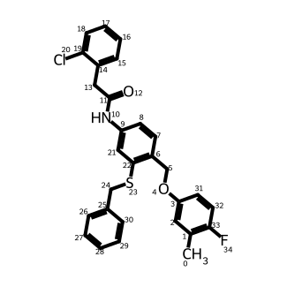 Cc1cc(OCc2ccc(NC(=O)Cc3ccccc3Cl)cc2SCc2ccccc2)ccc1F